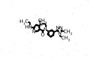 CCNc1cc2c(cn1)C(=O)N(c1cccc(-c3nnc(C)n3CC)c1)CCN2C